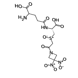 NC(CCC(=O)N[C@@H](C[S+]([O-])CC(=O)N1CC([N+](=O)[O-])([N+](=O)[O-])C1)C(=O)O)C(=O)O